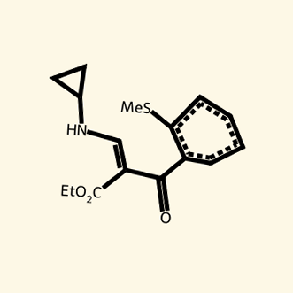 CCOC(=O)C(=CNC1CC1)C(=O)c1ccccc1SC